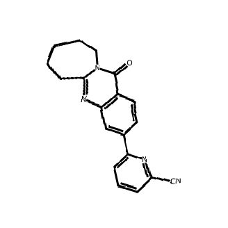 N#Cc1cccc(-c2ccc3c(=O)n4c(nc3c2)CCCCC4)n1